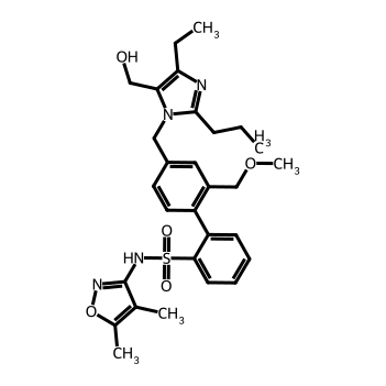 CCCc1nc(CC)c(CO)n1Cc1ccc(-c2ccccc2S(=O)(=O)Nc2noc(C)c2C)c(COC)c1